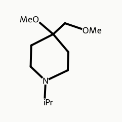 COCC1(OC)CCN(C(C)C)CC1